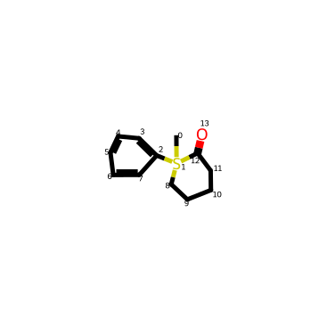 CS1(c2ccccc2)CCCCC1=O